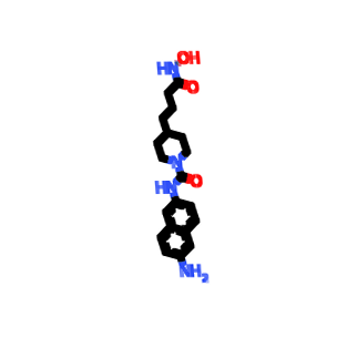 Nc1ccc2cc(NC(=O)N3CCC(CCCC(=O)NO)CC3)ccc2c1